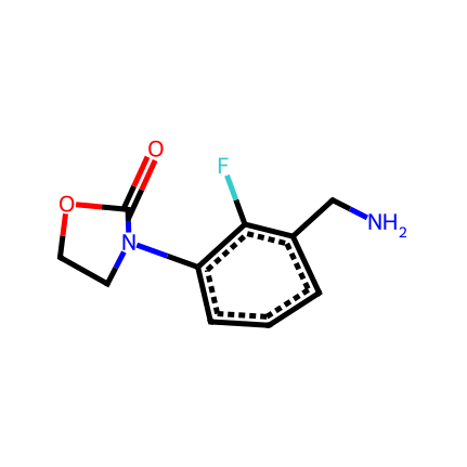 NCc1cccc(N2CCOC2=O)c1F